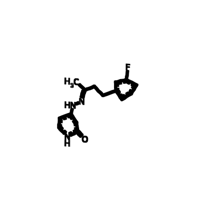 CC(CCc1cccc(F)c1)=NNc1cc[nH]c(=O)c1